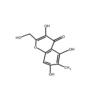 Cc1c(O)cc2oc(CO)c(O)c(=O)c2c1O